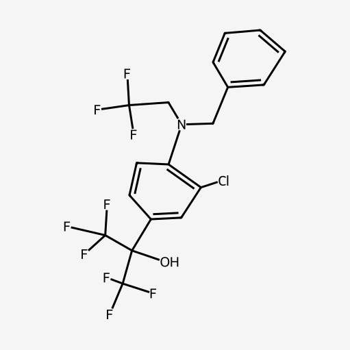 OC(c1ccc(N(Cc2ccccc2)CC(F)(F)F)c(Cl)c1)(C(F)(F)F)C(F)(F)F